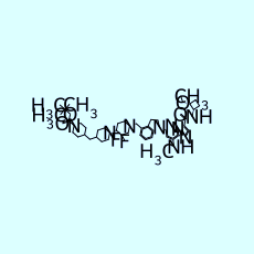 CNc1cc(N2CCc3c(CN4CC[C@H](N5CCC(CC6CCN(C(=O)OC(C)(C)C)CC6)CC5)C(F)(F)C4)cccc32)nn2c(C(=O)N[C@@H]3CC[C@H]3OC)cnc12